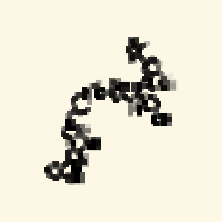 Cc1ncsc1-c1ccc([C@H](C)NC(=O)[C@@H]2C[C@@H](O)CN2C(=O)[C@@H](c2cc(OC(C)CN3CCCC(CN4CCN5c6cc(-c7ccccc7O)nnc6NC[C@H]5C4)CC3)no2)C(C)C)cc1